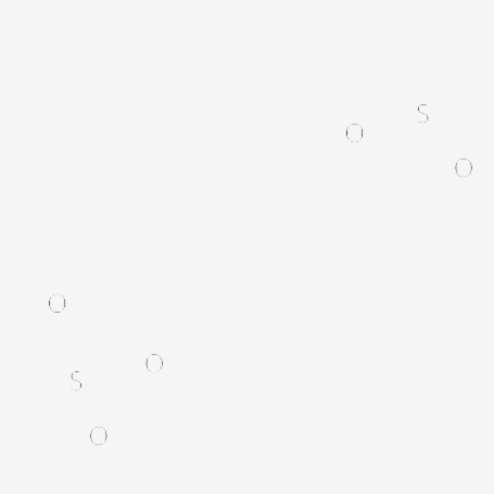 CS(=O)OCCCCOS(C)(=O)=O